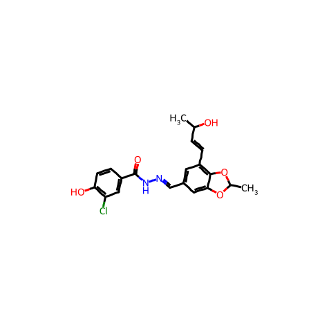 CC(O)/C=C/c1cc(/C=N/NC(=O)c2ccc(O)c(Cl)c2)cc2c1OC(C)O2